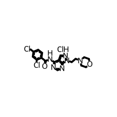 Cl.O=C(Nc1ncnc2c1cnn2CCN1CCOCC1)c1ccc(Cl)cc1Cl